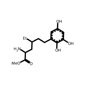 CCC(CCc1cc(O)cc(O)c1O)CC(N)C(=O)OC